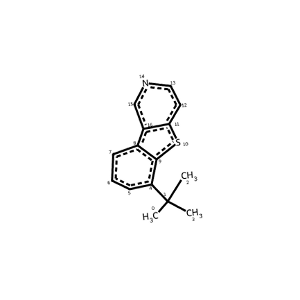 CC(C)(C)c1cccc2c1sc1ccncc12